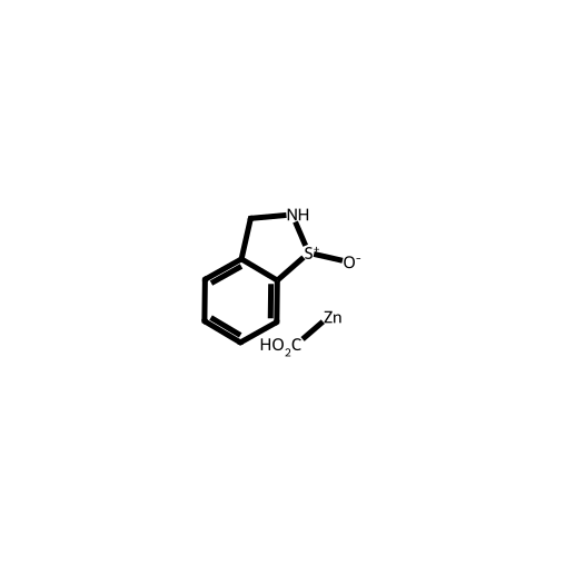 O=[C](O)[Zn].[O-][S+]1NCc2ccccc21